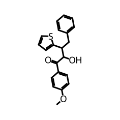 COc1ccc(C(=O)C(O)C(Cc2ccccc2)c2cccs2)cc1